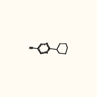 Oc1cnc(C2CCCCC2)nc1